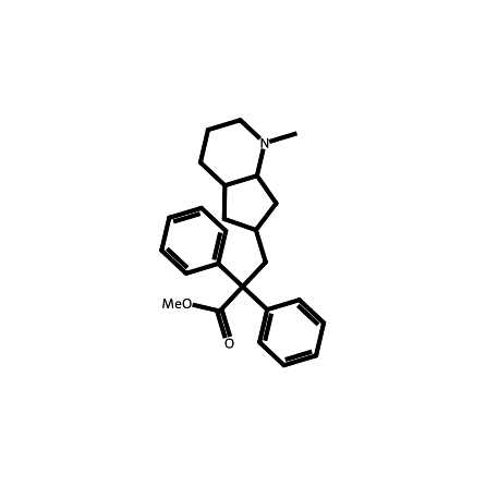 COC(=O)C(CC1CC2CCCN(C)C2C1)(c1ccccc1)c1ccccc1